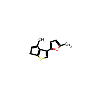 CC1=C[CH]c2scc(-c3ccc(C)o3)c21